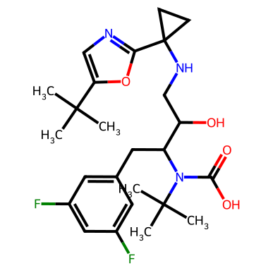 CC(C)(C)c1cnc(C2(NCC(O)C(Cc3cc(F)cc(F)c3)N(C(=O)O)C(C)(C)C)CC2)o1